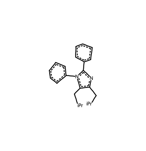 CC(C)Cc1nc(-c2ccccc2)n(-c2ccccc2)c1CC(C)C